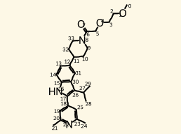 COCCOCC(=O)N1CCC(c2ccc3[nH]c(-c4cc(C)nc(C)c4)c(C(C)C)c3c2)CC1